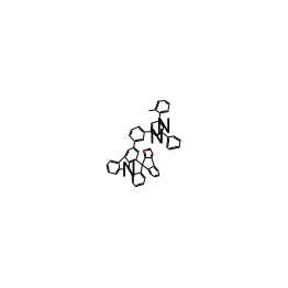 Cc1ccccc1-c1cc(-c2cccc(-c3cc4c5c(c3)c3ccccc3n5-c3ccccc3C43c4ccccc4-c4ccccc43)c2)nc(-c2ccccc2)n1